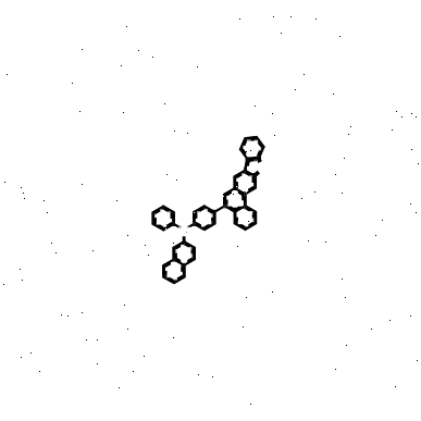 c1ccc(N(c2ccc(-c3cc4cc5c(cc4c4ccccc34)sc3ccccc35)cc2)c2ccc3ccccc3c2)cc1